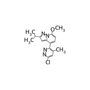 COc1ccc(-c2nnc(Cl)cc2C)c2cc(C(C)C)nn12